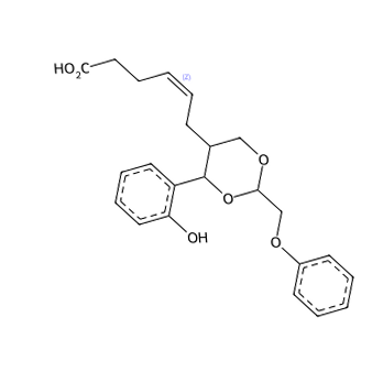 O=C(O)CC/C=C\CC1COC(COc2ccccc2)OC1c1ccccc1O